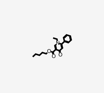 CCCCCOC(=O)c1cn(CC)c(-c2ccccc2)cc1=O